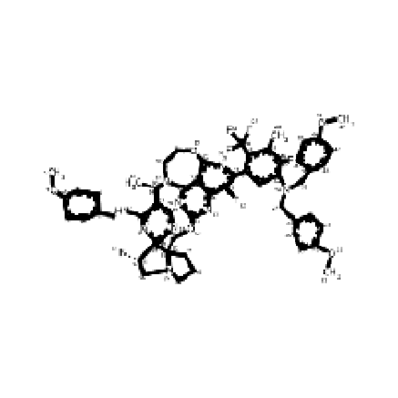 COc1ccc(CNc2ncncc2[C@@H](C)N2CCOc3nc(-c4cc(N(Cc5ccc(OC)cc5)Cc5ccc(OC)cc5)c(F)c(C)c4C(F)(F)F)c(F)c4nc(OC[C@@]56CCCN5C[C@H](F)C6)nc2c34)cc1